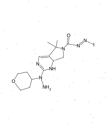 CC1(C)C2=CN=C(N(N)C3CCOCC3)NC2CN1C(=O)N=NI